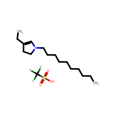 CCCCCCCCCCN1C=C(CC)CC1.O=S(=O)(O)C(F)(F)F